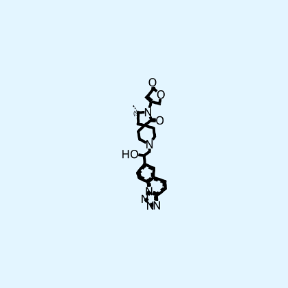 C[C@H]1CC2(CCN(CC(O)c3ccc4c(ccc5nnnn54)c3)CC2)C(=O)N1C1=CC(=O)OC1